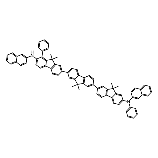 CC1(C)c2cc(-c3ccc4c(c3)C(C)(C)c3cc(N(c5ccccc5)c5ccc6ccccc6c5)ccc3-4)ccc2-c2ccc(-c3ccc4c(c3)C(C)(C)c3c-4ccc(Nc4ccc5ccccc5c4)c3-c3ccccc3)cc21